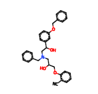 N#Cc1ccccc1OCC(O)CN(Cc1ccccc1)CC(O)c1cccc(OCc2ccccc2)c1